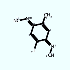 CC1=CC(=NC#N)C(I)=CC1=NC#N